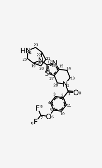 O=C(c1ccc(OC(F)F)cc1)N1CCc2nc(N3C4CCC3CNC4)sc2C1